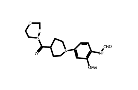 COc1cc(N2CCC(C(=O)N3CCOCC3)CC2)ccc1NC=O